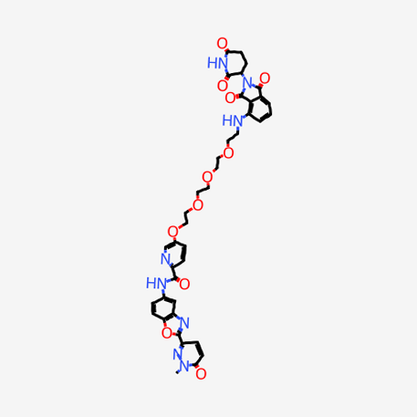 Cn1nc(-c2nc3cc(NC(=O)c4ccc(OCCOCCOCCOCCNc5cccc6c5C(=O)N(C5CCC(=O)NC5=O)C6=O)cn4)ccc3o2)ccc1=O